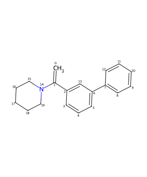 C=C(c1cccc(-c2ccccc2)c1)N1CCCCC1